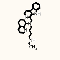 CCNCCCCN(Cc1nccc2c1[nH]c1ccccc12)C1CCCc2cccnc21